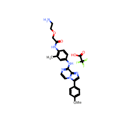 COc1ccc(-c2cnc3c(Nc4ccc(NC(=O)COCCN)c(C)c4)nccn23)cc1.O=C(O)C(F)(F)F